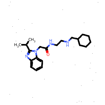 CC(C)c1nc2ccccc2n1CC(=O)NCCNCC1CCCCC1